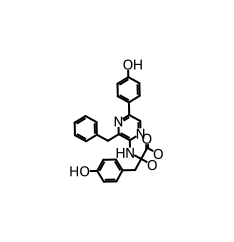 O=C1OOC1(Cc1ccc(O)cc1)Nc1ncc(-c2ccc(O)cc2)nc1Cc1ccccc1